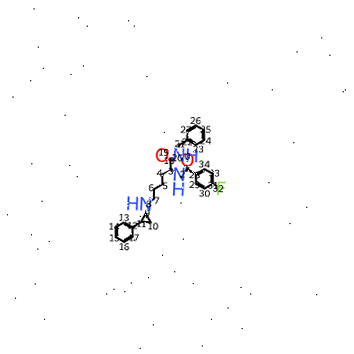 O=C(N[C@@H](CCCCN[C@@H]1CC1c1ccccc1)C(=O)NCc1ccccc1)c1ccc(F)cc1